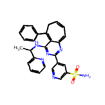 CC(Nc1nc(-c2cncc(S(N)(=O)=O)c2)nc2c1=C(c1ccccc1)CC=CC=2)c1ccccn1